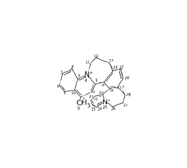 Cc1cc2[n+](c3ccccc13)CCCc1ccc3c(c1-2)-c1cccc[n+]1CCC3